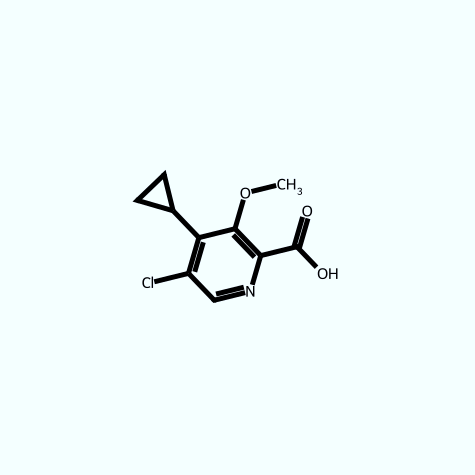 COc1c(C(=O)O)ncc(Cl)c1C1CC1